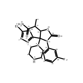 CCc1nnc(C2(N3CCNCC3)C(C(C)C(N)=O)OC(=O)N2c2cccc(F)c2)s1